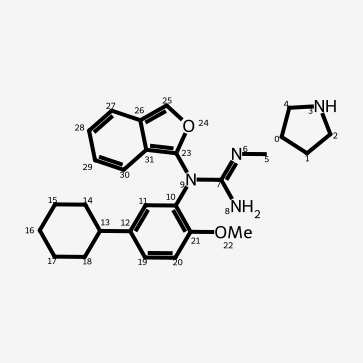 C1CCNC1.CN=C(N)N(c1cc(C2CCCCC2)ccc1OC)c1occ2ccccc12